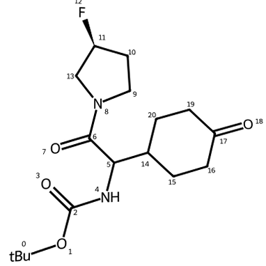 CC(C)(C)OC(=O)NC(C(=O)N1CC[C@H](F)C1)C1CCC(=O)CC1